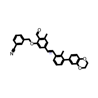 Cc1cc(/C=C/c2cccc(-c3ccc4c(c3)OCCO4)c2C)cc(OCc2cccc(C#N)c2)c1C=O